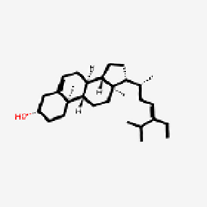 CCC(=CC[C@@H](C)[C@H]1CC[C@H]2[C@@H]3CC=C4C[C@@H](O)CC[C@]4(C)[C@H]3CC[C@]12C)C(C)C